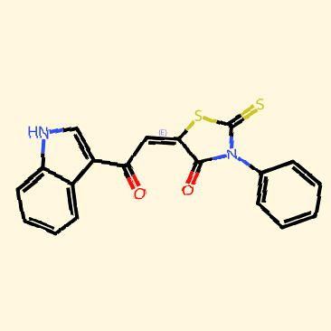 O=C(/C=C1/SC(=S)N(c2ccccc2)C1=O)c1c[nH]c2ccccc12